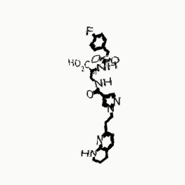 O=C(NC[C@H](NS(=O)(=O)Cc1ccc(F)cc1)C(=O)O)c1cnn(CCc2ccc3c(n2)NCCC3)c1